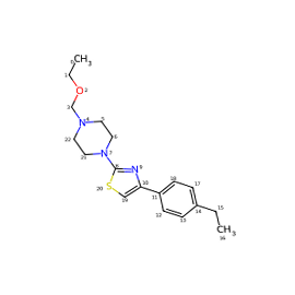 CCOCN1CCN(c2nc(-c3ccc(CC)cc3)cs2)CC1